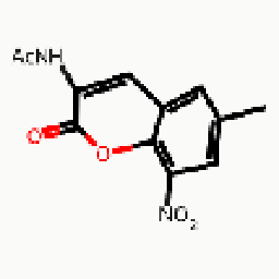 CC(=O)Nc1cc2cc(C)cc([N+](=O)[O-])c2oc1=O